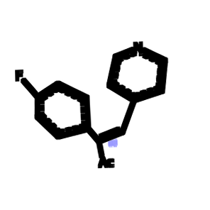 CC(=O)/C(=C/c1ccncc1)c1ccc(F)cc1